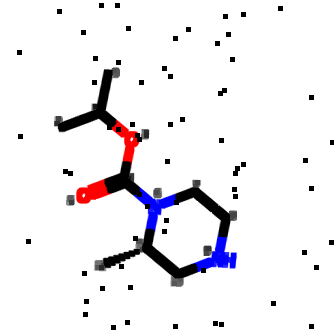 CC(C)OC(=O)N1CCNC[C@@H]1C